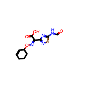 O=CNc1nc(/C(=N/OC2C=CCCC2)C(=O)O)ns1